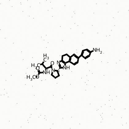 COC(=O)N[C@H](C(=O)N1CCC[C@H]1c1nc2c([nH]1)-c1ccc(-c3ccc(N)cc3)cc1CC2)C(C)C